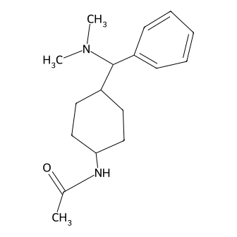 CC(=O)NC1CCC(C(c2ccccc2)N(C)C)CC1